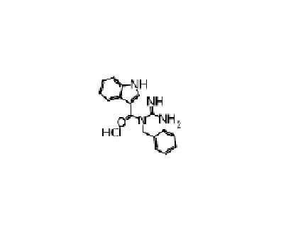 Cl.N=C(N)N(Cc1ccccc1)C(=O)c1c[nH]c2ccccc12